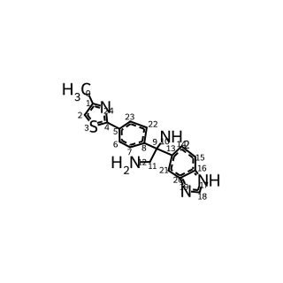 Cc1csc(-c2ccc(C(N)(CN)c3ccc4[nH]cnc4c3)cc2)n1